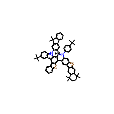 CC(C)(C)c1ccc(Nc2cc3sc4cc5c(cc4c3cc2-c2c3c4c(c6cc(C(C)(C)C)ccc6n4-c4cc6c(cc4B3)-c3ccccc3C6(C)C)c3c2sc2ccccc23)C(C)(C)CCC5(C)C)cc1